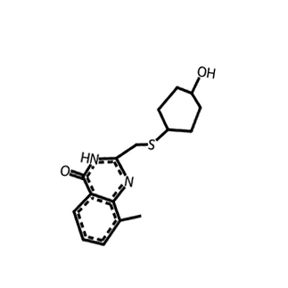 Cc1cccc2c(=O)[nH]c(CSC3CCC(O)CC3)nc12